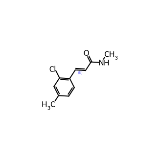 CNC(=O)/C=C/c1ccc(C)cc1Cl